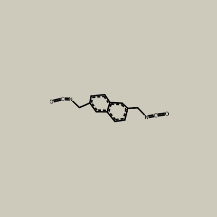 O=C=NCc1ccc2cc(CN=C=O)ccc2c1